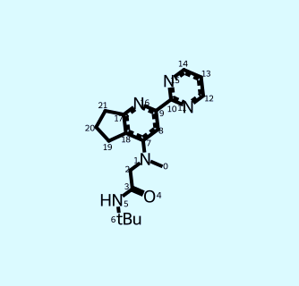 CN(CC(=O)NC(C)(C)C)c1cc(-c2ncccn2)nc2c1CCC2